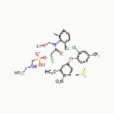 CCOCN(C(=O)CCl)c1c(C)cccc1CC.C[S+](C)C.O=C(O)CNCP(=O)([O-])O.O=C(O)c1cc(Oc2ccc(C(F)(F)F)cc2Cl)ccc1[N+](=O)[O-]